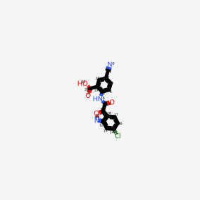 N#Cc1ccc(NC(=O)c2onc3cc(Cl)ccc23)c(C(=O)O)c1